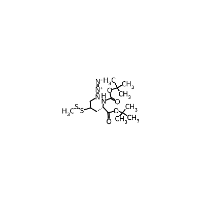 CSSC(CN=[N+]=[N-])C[C@H](NC(=O)OC(C)(C)C)C(=O)OC(C)(C)C